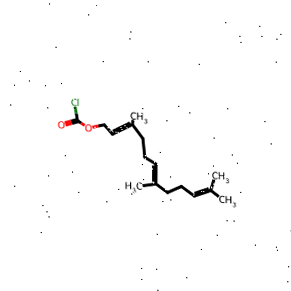 CC(C)=CCCC(C)=CCCC(C)=CCOC(=O)Cl